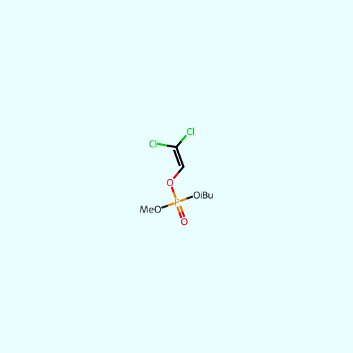 COP(=O)(OC=C(Cl)Cl)OCC(C)C